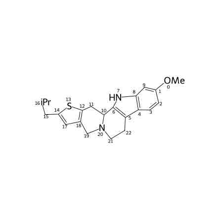 COc1ccc2c3c([nH]c2c1)C1Cc2sc(CC(C)C)cc2CN1CC3